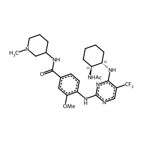 COc1cc(C(=O)NC2CCCN(C)C2)ccc1Nc1ncc(C(F)(F)F)c(N[C@H]2CCCC[C@@H]2NC(C)=O)n1